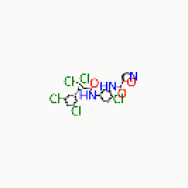 O=C(Nc1cc(NC(=O)C2C(c3cc(Cl)cc(Cl)c3)C2(Cl)Cl)ccc1Cl)c1ccno1